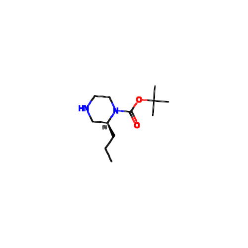 CCC[C@H]1CNCCN1C(=O)OC(C)(C)C